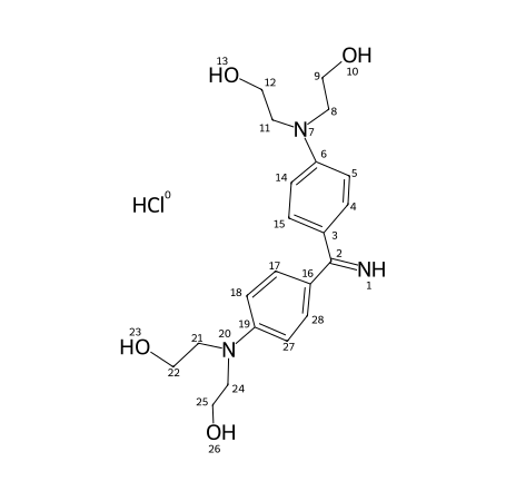 Cl.N=C(c1ccc(N(CCO)CCO)cc1)c1ccc(N(CCO)CCO)cc1